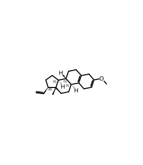 C=C[C@H]1CC[C@H]2[C@@H]3CCC4=C(CC=C(OC)C4)[C@H]3CC[C@]12C